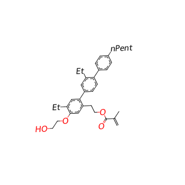 C=C(C)C(=O)OCCc1cc(OCCO)c(CC)cc1-c1ccc(-c2ccc(CCCCC)cc2)c(CC)c1